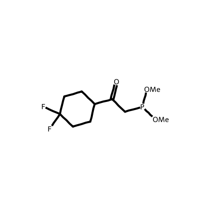 COP(CC(=O)C1CCC(F)(F)CC1)OC